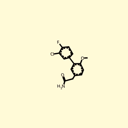 COc1ccc(CC(N)=O)cc1-c1ccc(F)c(Cl)c1